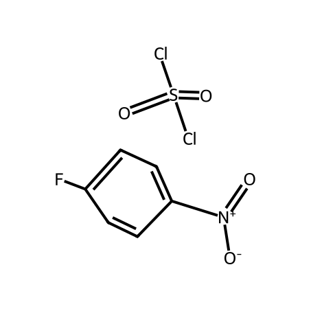 O=S(=O)(Cl)Cl.O=[N+]([O-])c1ccc(F)cc1